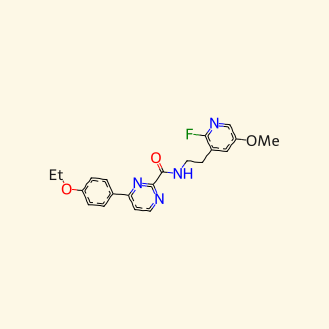 CCOc1ccc(-c2ccnc(C(=O)NCCc3cc(OC)cnc3F)n2)cc1